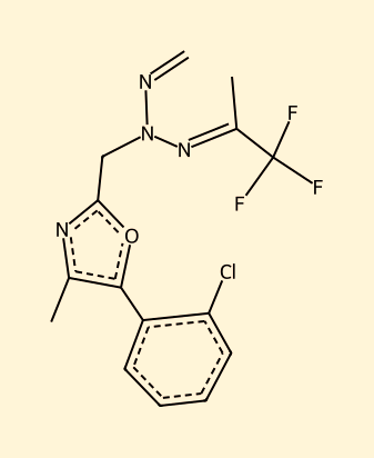 C=NN(Cc1nc(C)c(-c2ccccc2Cl)o1)/N=C(\C)C(F)(F)F